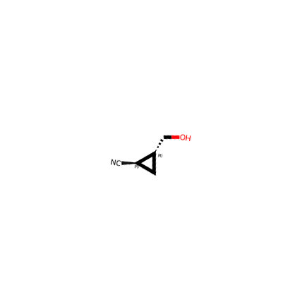 N#C[C@@H]1C[C@H]1CO